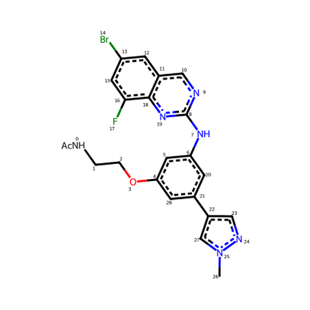 CC(=O)NCCOc1cc(Nc2ncc3cc(Br)cc(F)c3n2)cc(-c2cnn(C)c2)c1